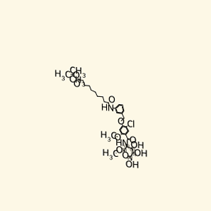 COc1cc(OCc2cccc(NC(=O)CCCCCCCCC(=O)OC(C)(C)C)c2)c(Cl)cc1C(=O)N[C@H]1[C@@H](OC)O[C@H](CO)[C@@H](O)[C@@H]1O